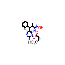 Cc1ncc(C(c2ccccc2Cl)C(C)/C(=N/O)NOC(=O)/C=C\C(=O)O)cn1